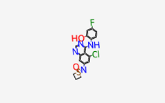 O=S1(=Nc2cc(Cl)c3c(Nc4ccc(F)cc4O)ncnc3c2)CCC1